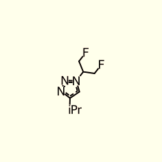 CC(C)c1cn(C(CF)CF)nn1